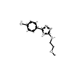 COCCOc1nnc(-c2ccc(Cl)cc2)o1